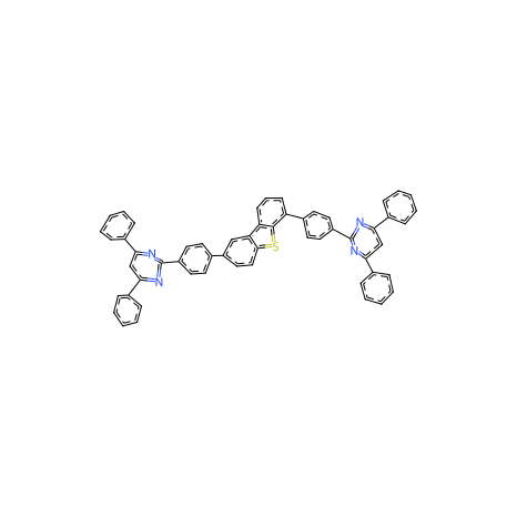 c1ccc(-c2cc(-c3ccccc3)nc(-c3ccc(-c4ccc5sc6c(-c7ccc(-c8nc(-c9ccccc9)cc(-c9ccccc9)n8)cc7)cccc6c5c4)cc3)n2)cc1